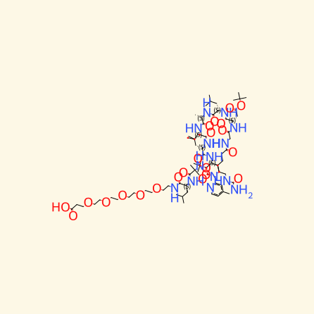 CC[C@H](NC(=O)[C@H](C)NC(=O)[C@H](CC(C)C)NC(=O)[C@H](CC(=O)OC(C)(C)C)NC(=O)CNC(=O)CCCCN(C(=O)OC(C)(C)C)c1cc(C)ccn1)C(=O)N[C@@H](CC(C)C)C(=O)N[C@@H](CCCNC(N)=O)C(=O)NC(C)(C)C(=O)N[C@@H](CC(C)C)C(=O)NCCOCCOCCOCCOCCOCCC(=O)O